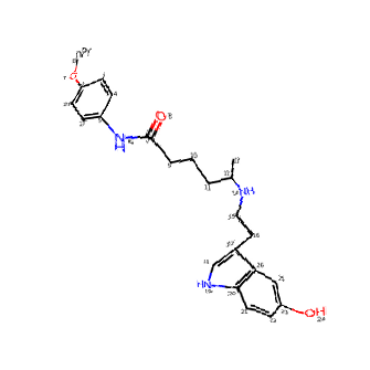 CCCOc1ccc(NC(=O)CCCC(C)NCCc2c[nH]c3ccc(O)cc23)cc1